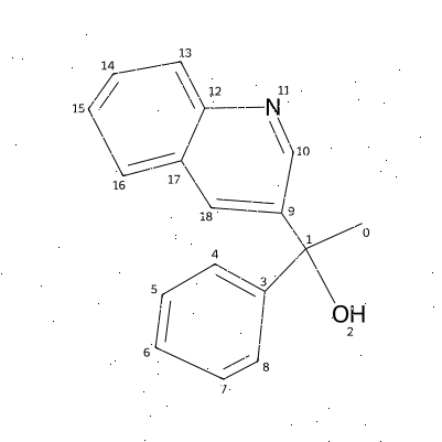 CC(O)(c1ccccc1)c1cnc2ccccc2c1